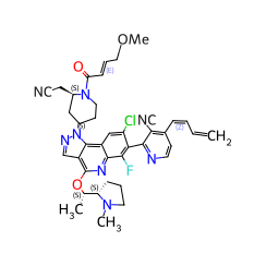 C=C/C=C\c1ccnc(-c2c(Cl)cc3c(nc(O[C@@H](C)[C@@H]4CCCN4C)c4cnn([C@H]5CCN(C(=O)/C=C/COC)[C@H](CC#N)C5)c43)c2F)c1C#N